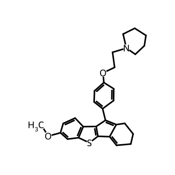 COc1ccc2c3c(sc2c1)C1=CCCCC1=C3c1ccc(OCCN2CCCCC2)cc1